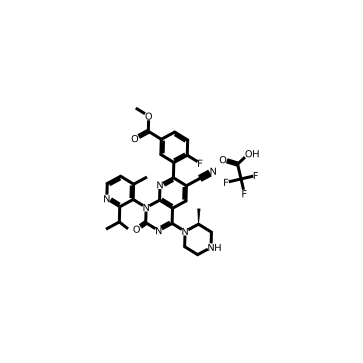 COC(=O)c1ccc(F)c(-c2nc3c(cc2C#N)c(N2CCNC[C@@H]2C)nc(=O)n3-c2c(C)ccnc2C(C)C)c1.O=C(O)C(F)(F)F